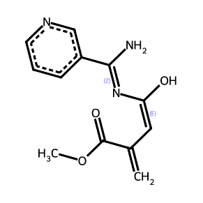 C=C(/C=C(O)\N=C(/N)c1cccnc1)C(=O)OC